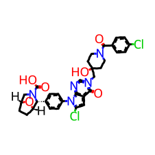 O=C(c1ccc(Cl)cc1)N1CCC(O)(Cn2cnc3c(cc(Cl)n3-c3ccc([C@@H]4[C@@H]5CC[C@H](CN4C(=O)O)O5)cc3)c2=O)CC1